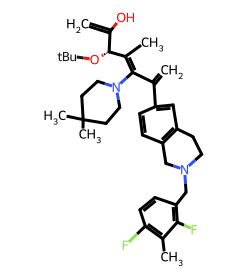 C=C(/C(=C(\C)[C@H](OC(C)(C)C)C(=C)O)N1CCC(C)(C)CC1)c1ccc2c(c1)CCN(Cc1ccc(F)c(C)c1F)C2